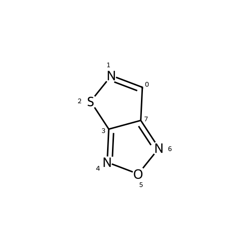 c1nsc2nonc12